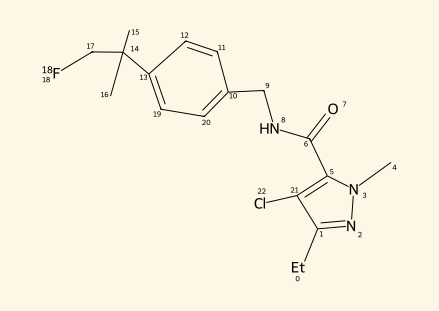 CCc1nn(C)c(C(=O)NCc2ccc(C(C)(C)C[18F])cc2)c1Cl